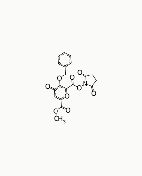 COC(=O)c1cc(=O)c(OCc2ccccc2)c(C(=O)ON2C(=O)CCC2=O)o1